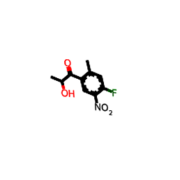 Cc1cc(F)c([N+](=O)[O-])cc1C(=O)C(C)O